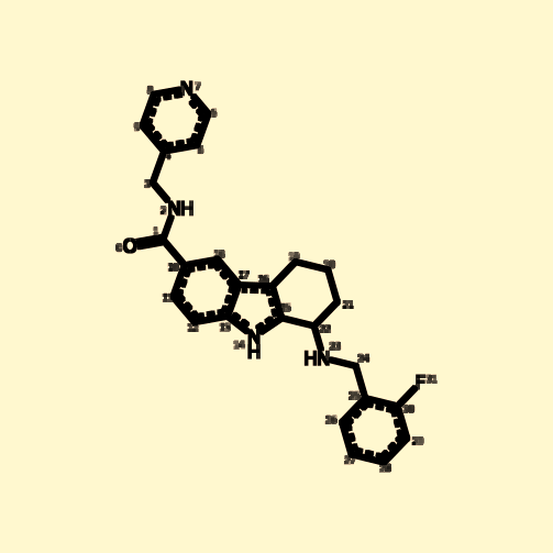 O=C(NCc1ccncc1)c1ccc2[nH]c3c(c2c1)CCCC3NCc1ccccc1F